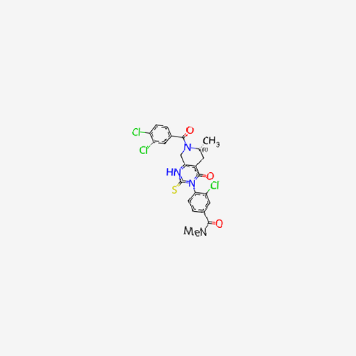 CNC(=O)c1ccc(-n2c(=S)[nH]c3c(c2=O)C[C@@H](C)N(C(=O)c2ccc(Cl)c(Cl)c2)C3)c(Cl)c1